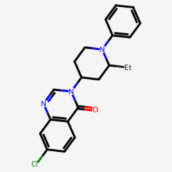 CCC1CC(n2cnc3cc(Cl)ccc3c2=O)CCN1c1ccccc1